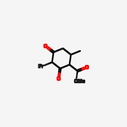 COC(=O)C1C(=O)C(C(C)C)C(=O)CC1C